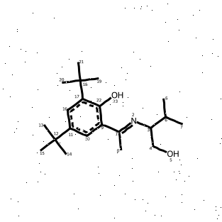 CC(=NC(CO)C(C)C)c1cc(C(C)(C)C)cc(C(C)(C)C)c1O